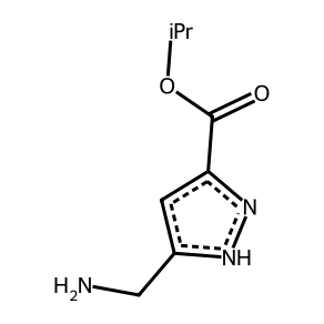 CC(C)OC(=O)c1cc(CN)[nH]n1